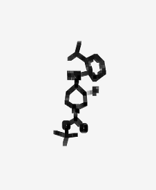 CC(C)c1ccccc1N[C@@H]1CCN(C(=O)OC(C)(C)C)C[C@H]1F